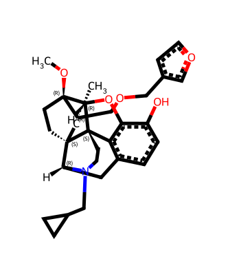 CO[C@]12CC[C@@]3(C[C@]1(C)COCc1ccoc1)[C@H]1Cc4ccc(O)c5c4[C@@]3(CCN1CC1CC1)[C@H]2O5